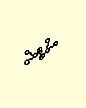 C(=C\c1ccc(C23CC4CC(C2)CC(C25CC6CC(CC(c7ccc(/C=C/c8ccccc8)c(/C=C/c8ccccc8)c7)(C6)C2)C5)(C4)C3)cc1/C=C/c1ccccc1)/c1ccccc1